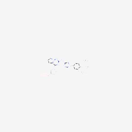 COc1cc(-n2cnc(Nc3nc(N4CCC(CO)C4)c4cccn4n3)c2)cc(OC)c1OC